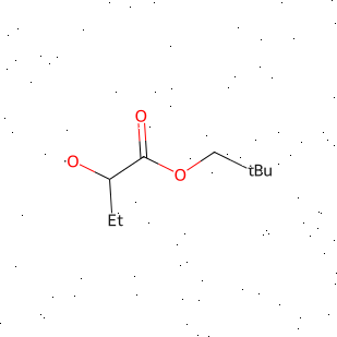 CCC([O])C(=O)OCC(C)(C)C